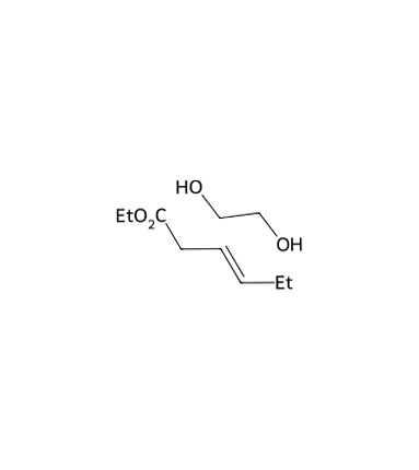 CCC=CCC(=O)OCC.OCCO